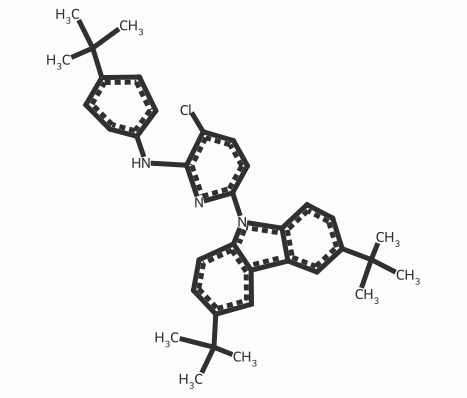 CC(C)(C)c1ccc(Nc2nc(-n3c4ccc(C(C)(C)C)cc4c4cc(C(C)(C)C)ccc43)ccc2Cl)cc1